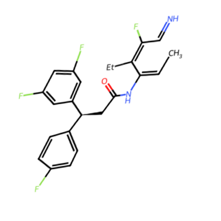 C/C=C(NC(=O)C[C@@H](c1ccc(F)cc1)c1cc(F)cc(F)c1)\C(CC)=C(\F)C=N